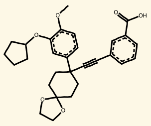 COc1ccc(C2(C#Cc3cccc(C(=O)O)c3)CCC3(CC2)OCCO3)cc1OC1CCCC1